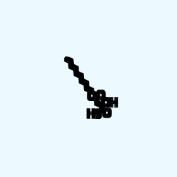 CCCCCCCCCCOC(=O)CC(O)C(=O)S